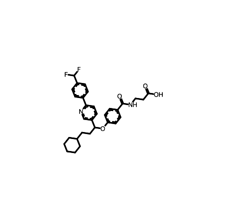 O=C(O)CCNC(=O)c1ccc(OC(CCC2CCCCC2)c2ccc(-c3ccc(C(F)F)cc3)nc2)cc1